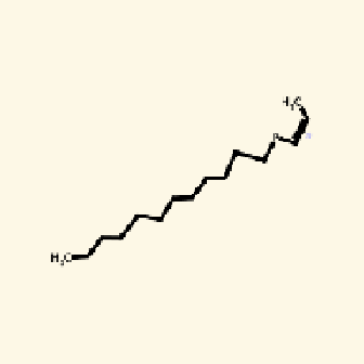 C/C=C\[P]CCCCCCCCCCCC